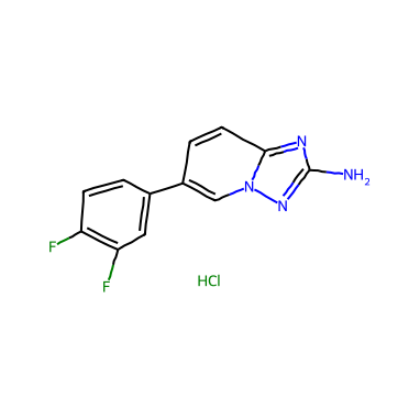 Cl.Nc1nc2ccc(-c3ccc(F)c(F)c3)cn2n1